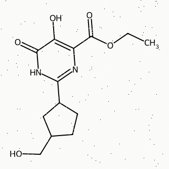 CCOC(=O)c1nc(C2CCC(CO)C2)[nH]c(=O)c1O